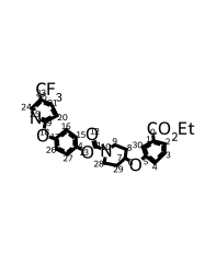 CCOC(=O)c1cccc(OC2CCN(C(=O)Oc3ccc(Oc4ccc(C(F)(F)F)cn4)cc3)CC2)c1